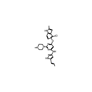 C/C=C/c1cc(Nc2cc(Oc3ccc4[nH]c(C)cc4c3Cl)nc(N3CCN(C)CC3)n2)n[nH]1